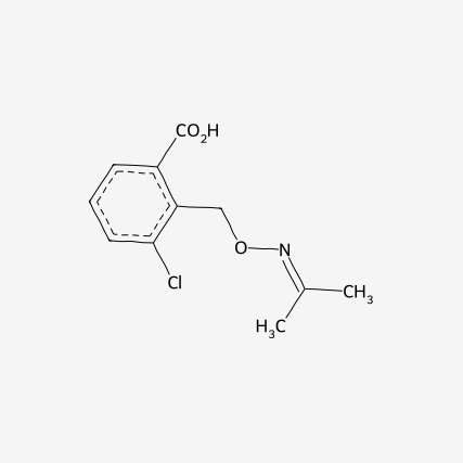 CC(C)=NOCc1c(Cl)cccc1C(=O)O